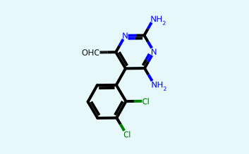 Nc1nc(N)c(-c2cccc(Cl)c2Cl)c(C=O)n1